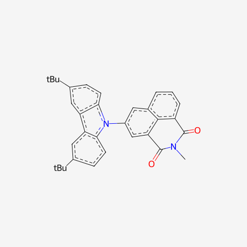 CN1C(=O)c2cccc3cc(-n4c5ccc(C(C)(C)C)cc5c5cc(C(C)(C)C)ccc54)cc(c23)C1=O